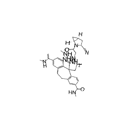 C=C(NC)c1ccc2c(c1)CCc1cc(C(=O)NC)ccc1C2(C[C@H](C)NCC(=O)N1C(C#N)C[C@@H]2C[C@@H]21)/C(N)=N/NC